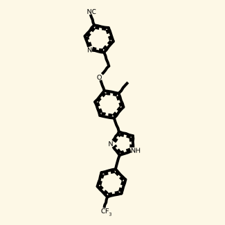 [C-]#[N+]c1ccc(COc2ccc(-c3c[nH]c(-c4ccc(C(F)(F)F)cc4)n3)cc2C)nc1